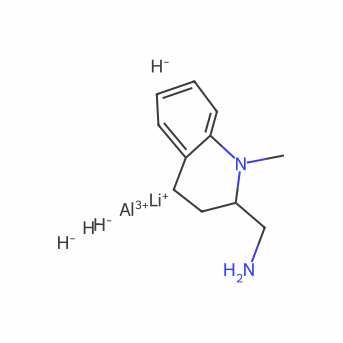 CN1c2ccccc2CCC1CN.[Al+3].[H-].[H-].[H-].[H-].[Li+]